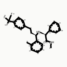 CNC(=O)[C@@H](N[C@H](CCc1ccc(C(F)(F)F)cc1)c1ccccc1C)c1ccccc1